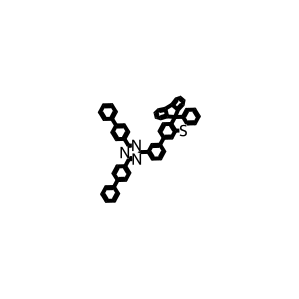 c1ccc(-c2ccc(-c3nc(-c4ccc(-c5ccccc5)cc4)nc(-c4cccc(-c5ccc6c(c5)Sc5ccccc5C65c6ccccc6-c6ccccc65)c4)n3)cc2)cc1